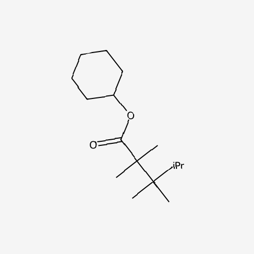 CC(C)C(C)(C)C(C)(C)C(=O)OC1CCCCC1